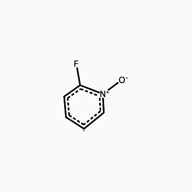 [O-][n+]1c[c]ccc1F